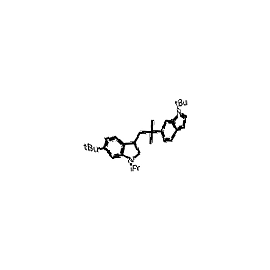 CC(C)N1CC(CC(C)(C)c2ccc3ccn(C(C)(C)C)c3c2)c2ccc(C(C)(C)C)cc21